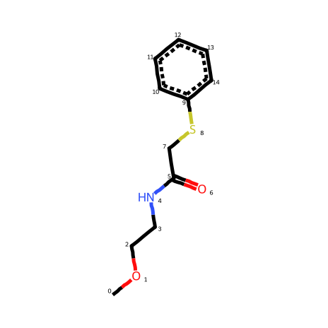 COCCNC(=O)CSc1ccccc1